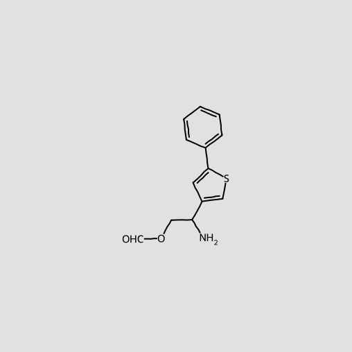 NC(COC=O)c1csc(-c2ccccc2)c1